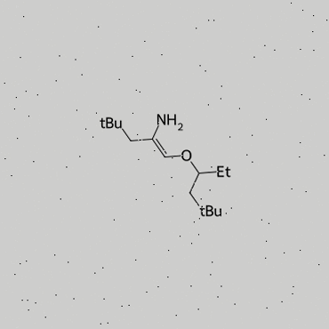 CCC(CC(C)(C)C)O/C=C(\N)CC(C)(C)C